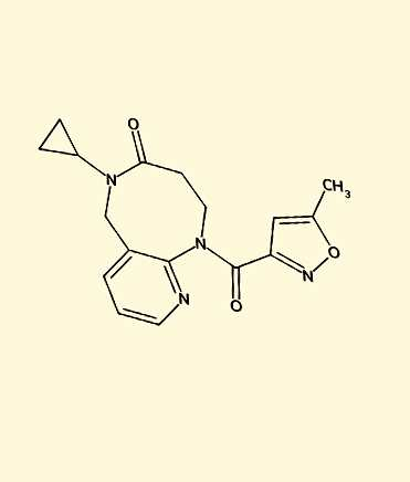 Cc1cc(C(=O)N2CCC(=O)N(C3CC3)Cc3cccnc32)no1